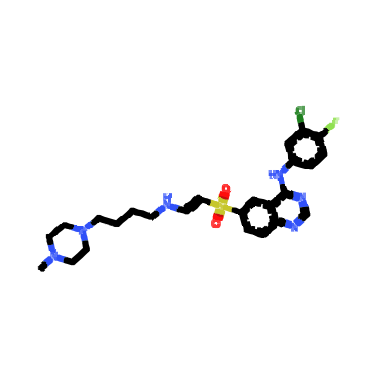 CN1CCN(CCCCNC=CS(=O)(=O)c2ccc3ncnc(Nc4ccc(F)c(Cl)c4)c3c2)CC1